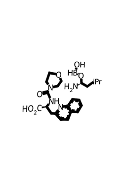 CC(C)C[C@H](N)OBO.O=C(O)[C@H](Cc1ccc2ccccc2n1)NC(=O)N1CCOCC1